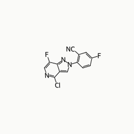 N#Cc1cc(F)ccc1-n1cc2c(Cl)ncc(F)c2n1